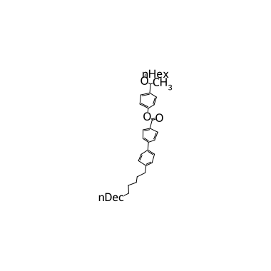 CCCCCCCCCCCCCCCc1ccc(-c2ccc(C(=O)Oc3ccc(C(C)OCCCCCC)cc3)cc2)cc1